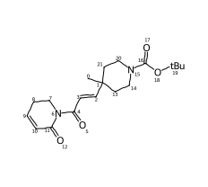 CC1(/C=C/C(=O)N2CCC=CC2=O)CCN(C(=O)OC(C)(C)C)CC1